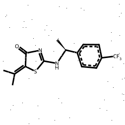 CC(C)=C1SC(N[C@@H](C)c2ccc(C(F)(F)F)cc2)=NC1=O